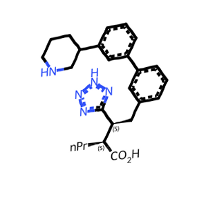 CCC[C@H](C(=O)O)[C@H](Cc1cccc(-c2cccc(C3CCCNC3)c2)c1)c1nn[nH]n1